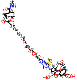 CCNC(=O)c1ccc(OC(=O)CCOCCOCCOCCOCCOCCOCCNC(=S)Nc2ccc3c(c2)COCOC32c3ccc(O)cc3Oc3cc(O)ccc32)cc1